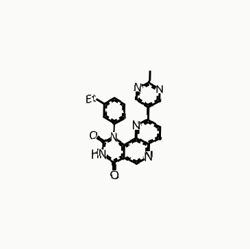 CCc1cccc(-n2c(=O)[nH]c(=O)c3cnc4ccc(-c5cnc(C)nc5)nc4c32)c1